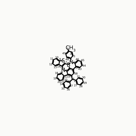 Cc1ccc(N2B3c4sc5ccccc5c4-n4c5ccccc5c5c(C(c6ccccc6)c6ccccc6)cc(c3c54)-c3ccccc32)cc1